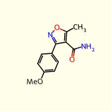 COc1ccc(-c2noc(C)c2C(N)=O)cc1